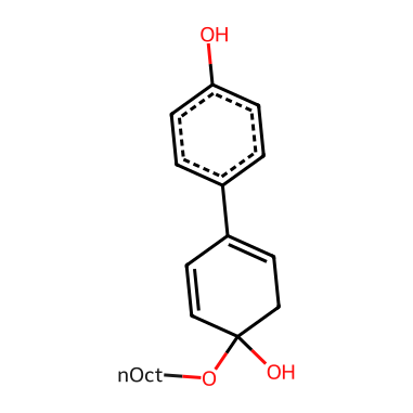 CCCCCCCCOC1(O)C=CC(c2ccc(O)cc2)=CC1